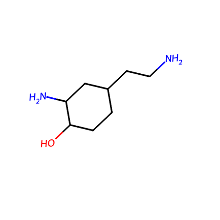 NCCC1CCC(O)C(N)C1